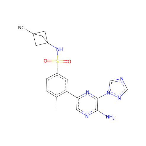 Cc1ccc(S(=O)(=O)NC23CC(C#N)(C2)C3)cc1-c1cnc(N)c(-n2cncn2)n1